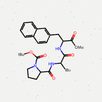 CCC(C)C(NC(=O)C1CCCN1C(=O)OC(C)(C)C)C(=O)NC(Cc1ccc2ccccc2c1)C(=O)OC